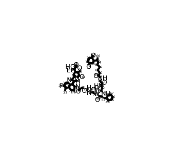 CC[C@@]1(O)C(=O)OCc2c1cc1n(c2=O)Cc2c-1nc1cc(F)c(C)c3c1c2[C@@H](NC(O)COCNC(=O)CNC(=O)[C@H](Cc1ccccc1)NC(=O)CNC(=O)CNC(=O)CCCCCC(C)C1CC(=O)C=CC1=O)CC3